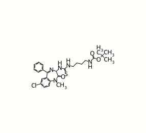 CN1C(=O)C(NC(=S)NCCCCNC(=O)OC(C)(C)C)N=C(c2ccccc2)c2cc(Cl)ccc21